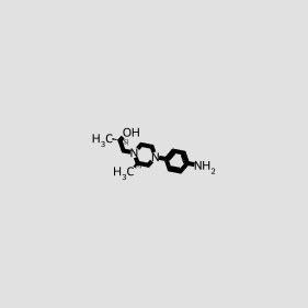 C[C@H](O)CN1CCN(c2ccc(N)cc2)C[C@H]1C